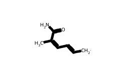 [CH2]C=CC=C(C)C(N)=O